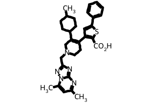 Cc1cc(C)n2nc(CN3CCC(c4cc(-c5ccccc5)sc4C(=O)O)=C(C4CCC(C)CC4)C3)nc2n1